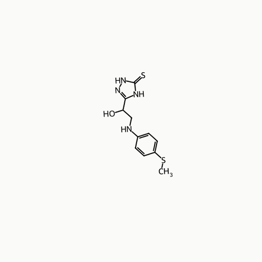 CSc1ccc(NCC(O)c2n[nH]c(=S)[nH]2)cc1